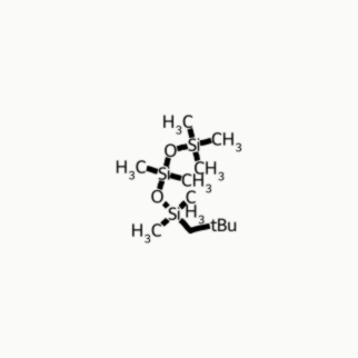 CC(C)(C)C[Si](C)(C)O[Si](C)(C)O[Si](C)(C)C